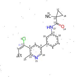 CC/C=C(/Cl)c1cc(-c2cccc(NC(=O)C3(C#N)CC3)c2)cnc1C